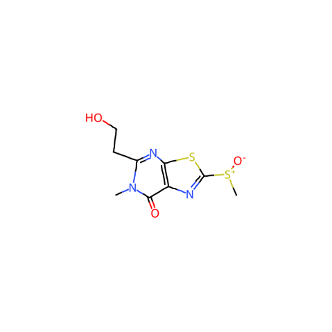 Cn1c(CCO)nc2sc([S+](C)[O-])nc2c1=O